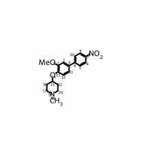 COc1cc(-c2ccc([N+](=O)[O-])cc2)ccc1OC1CCN(C)CC1